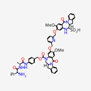 COc1cc2c(cc1OCc1cccc(COc3cc4c(cc3OC)C(=O)N3c5ccccc5C[C@H]3CN4C(=O)OCc3ccc(NC(=O)[C@H](C)NC(=O)C(N)C(C)C)cc3)n1)NC(S(=O)(=O)O)[C@@H]1Cc3ccccc3N1C2=O